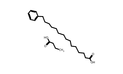 CCCC(=O)O.O=C(O)CCCCCCCCCCCCCCc1ccccc1